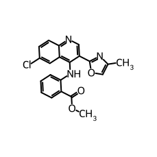 COC(=O)c1ccccc1Nc1c(-c2nc(C)co2)cnc2ccc(Cl)cc12